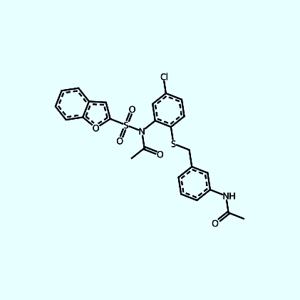 CC(=O)Nc1cccc(CSc2ccc(Cl)cc2N(C(C)=O)S(=O)(=O)c2cc3ccccc3o2)c1